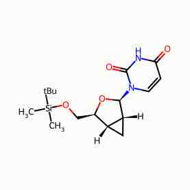 CC(C)(C)[Si](C)(C)OC[C@H]1O[C@@H](n2ccc(=O)[nH]c2=O)[C@@H]2C[C@@H]21